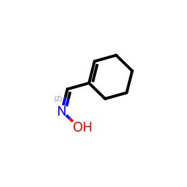 O/N=C\C1=CCCCC1